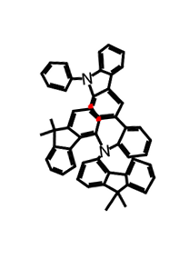 CC1(C)c2ccccc2-c2c(N(c3ccccc3-c3ccc4c(c3)c3ccccc3n4-c3ccccc3)c3cccc4c3-c3ccccc3C4(C)C)cccc21